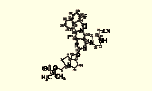 CC(C)(C)[Si](C)(C)OCC1CCC2(COc3nc(N4CCN[C@@H](CC#N)C4)c4cnc(-c5cccc6ccc(F)c(Cl)c56)c(F)c4n3)CCCN12